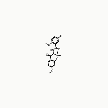 COc1ccc2c(c1)OC(C)(C)C(NC(=O)c1cc(Cl)ccc1OC)C2=O